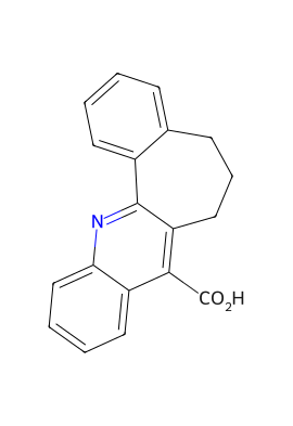 O=C(O)c1c2c(nc3ccccc13)-c1ccccc1CCC2